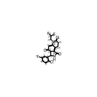 O=C1NC(c2cc(F)ccc2Cl)C2C(=O)C=C3C(=C12)CCC(=O)N3CC(F)F